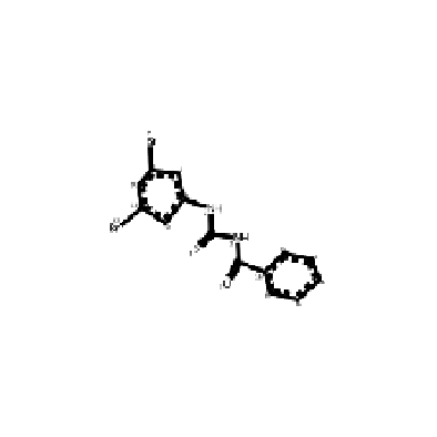 O=C(NC(=S)Nc1cc(Br)cc(Br)c1)c1ccccc1